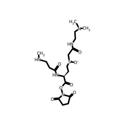 CNCCC(=O)N[C@@H](CC[S+]([O-])CC(=O)NCCN(C)C)C(=O)ON1C(=O)CCC1=O